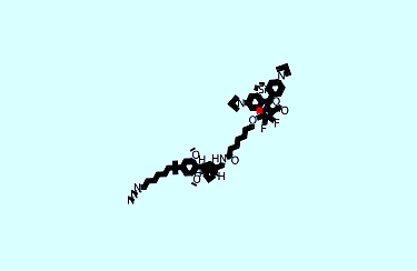 COc1cc(C(C)(C)CCCCCCN=[N+]=[N-])cc(OC)c1[C@H]1C=C(CNC(=O)CCCCCCOc2c(F)c(F)c3c(c2F)C2(OC3=O)c3ccc(N4CCC4)cc3[Si](C)(C)c3cc(N4CCC4)ccc32)[C@H]2C[C@@H]1C2(C)C